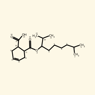 CC(C)CCCCC(OC(=O)C1CC=CCC1C(=O)O)C(C)C